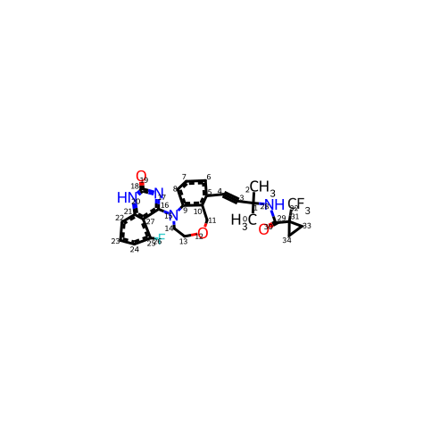 CC(C)(C#Cc1cccc2c1COCCN2c1nc(=O)[nH]c2cccc(F)c12)NC(=O)C1(C(F)(F)F)CC1